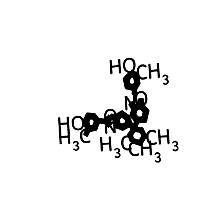 Cc1cc(-c2nc3cc(C4(c5ccc6oc(-c7ccc(O)c(C)c7)nc6c5)CC(C)CC(C)(C)C4)ccc3o2)ccc1O